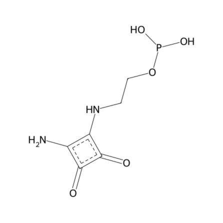 Nc1c(NCCOP(O)O)c(=O)c1=O